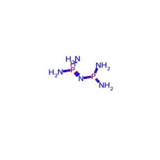 NP(N)N=[PH](N)N